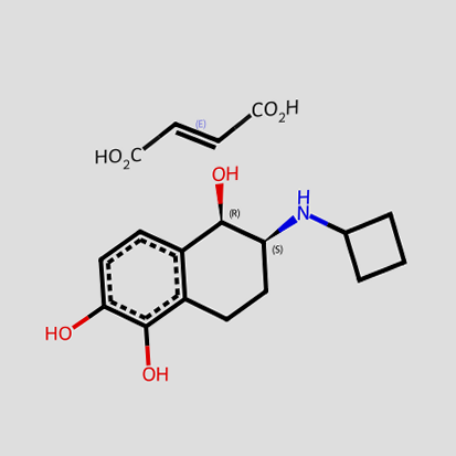 O=C(O)/C=C/C(=O)O.Oc1ccc2c(c1O)CC[C@H](NC1CCC1)[C@@H]2O